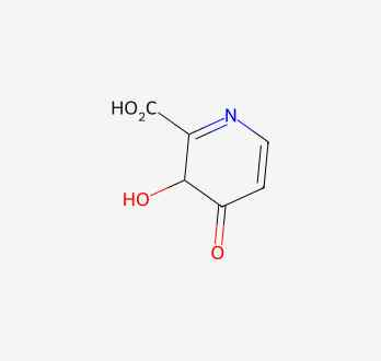 O=C(O)C1=NC=CC(=O)C1O